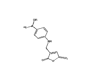 C=C1C=C(CNc2ccc(B(O)O)cc2)C(=O)O1